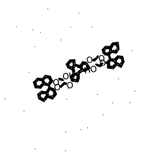 OCCOc1ccc2ccccc2c1-c1c(OCCOc2ccc3c4ccc(OCCOc5ccc6ccccc6c5-c5c(OCCO)ccc6ccccc56)cc4c4ccccc4c3c2)ccc2ccccc12